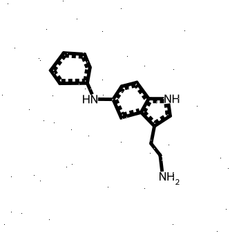 NCCc1c[nH]c2ccc(Nc3ccccc3)cc12